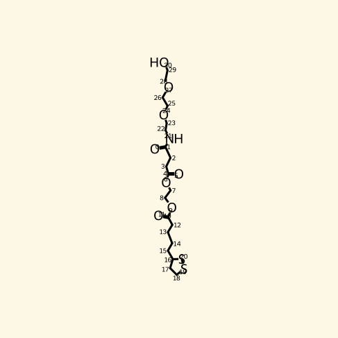 O=C(CCC(=O)OCCOC(=O)CCCCC1CCSS1)NCCOCCOCCO